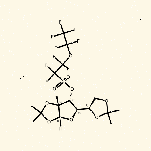 CC1(C)O[C@H]2O[C@H]([C@H]3COC(C)(C)O3)[C@@H](OS(=O)(=O)C(F)(F)C(F)(F)OC(F)(F)C(F)(F)I)[C@H]2O1